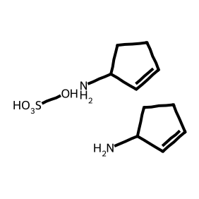 NC1C=CCC1.NC1C=CCC1.O=S(=O)(O)O